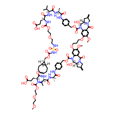 C=C1C[C@H]2[C@H](O)N(C(=O)OCc3ccc(NC(=O)[C@H](C)NC(=O)[C@@H](NC(=O)[C@H](CCC(=O)O)NC(=O)OCCOCCNS(=O)(=O)NC(=O)OC[C@@H]4[C@@H]5CC/C=C\CC[C@@H]54)C(C)C)cc3)c3cc(OCCCOc4cc5c(cc4OC)C(=O)N4CC(=C)C[C@H]4[C@H](O)N5C(=O)OCc4ccc(NC(=O)[C@H](C)NC(=O)[C@@H](NC(=O)[C@H](CCC(=O)O)NC(=O)OCCOCCOC)C(C)C)cc4)c(OC)cc3C(=O)N2C1